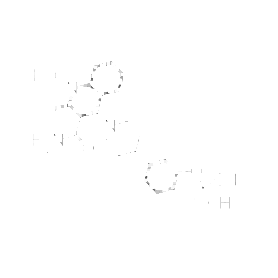 Cn1c(=O)c(C(N)=O)c(N2CCC(c3ccc4c(c3)OC(C)(C)O4)CC2)c2ccccc21